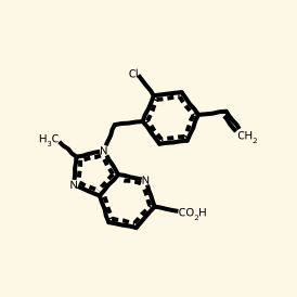 C=Cc1ccc(Cn2c(C)nc3ccc(C(=O)O)nc32)c(Cl)c1